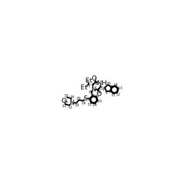 CCC(CC)[C@@H]1C(=O)N[C@H](C2Cc3ccccc3C2)C(=O)N1Cc1ccccc1SCCCN1CCOCC1